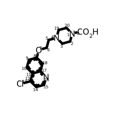 O=C(O)N1CCN(CCOc2ccc3c(Cl)ccnc3c2)CC1